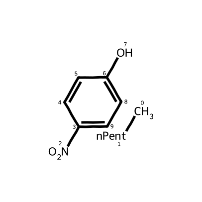 CCCCCC.O=[N+]([O-])c1ccc(O)cc1